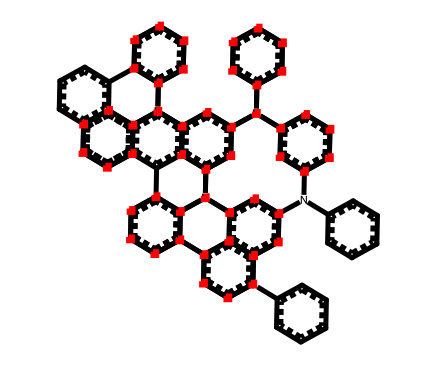 c1ccc(Oc2cc(N(c3ccccc3)c3cccc(N(c4ccccc4)c4cc(N(c5ccccc5)c5ccccc5-c5ccccc5)cc(N(c5ccccc5)c5ccccc5-c5ccccc5)c4)c3)cc(N(c3cc(N(c4ccccc4)c4ccccc4)cc(N(c4ccccc4)c4ccccc4)c3)c3c(-c4ccccc4)cccc3-c3ccccc3)c2)cc1